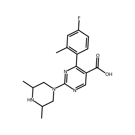 Cc1cc(F)ccc1-c1nc(N2CC(C)NC(C)C2)ncc1C(=O)O